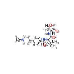 CC(C)(C)C(NC(=O)c1ccc(C2CCN(C3CC3)CC2)cc1)C(=O)N1CC[C@H]2OCC(=O)[C@H]21